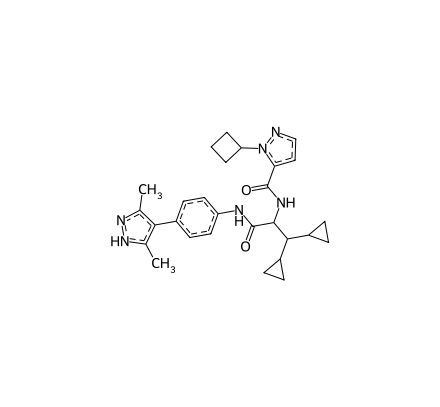 Cc1n[nH]c(C)c1-c1ccc(NC(=O)C(NC(=O)c2ccnn2C2CCC2)C(C2CC2)C2CC2)cc1